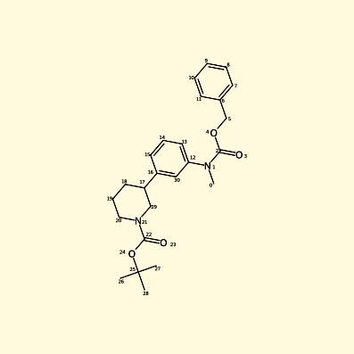 CN(C(=O)OCc1ccccc1)c1cccc(C2CCCN(C(=O)OC(C)(C)C)C2)c1